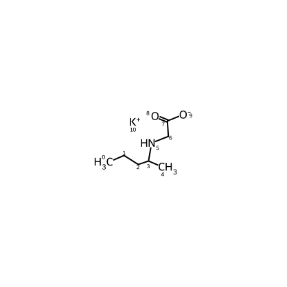 CCCC(C)NCC(=O)[O-].[K+]